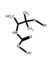 CCCOC(=O)NC(C(=O)O)C(C)(C)SC(C)C